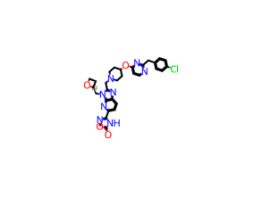 O=c1[nH]c(-c2ccc3nc(CN4CCC(Oc5ccnc(Cc6ccc(Cl)cc6)n5)CC4)n(C[C@@H]4CCO4)c3n2)no1